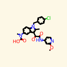 COc1cc(NC(=O)C(=O)c2c(C)n(Cc3ccc(Cl)cc3)c3ccc(N(C)C(=O)O)cc23)ccn1